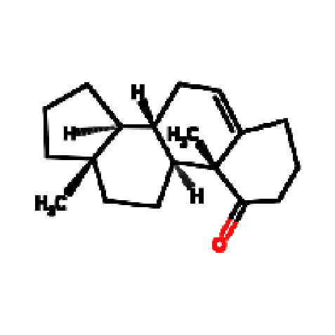 C[C@@]12CCC[C@H]1[C@@H]1CC=C3CCCC(=O)[C@]3(C)[C@H]1CC2